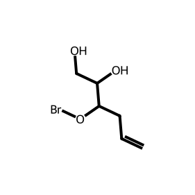 C=CCC(OBr)C(O)CO